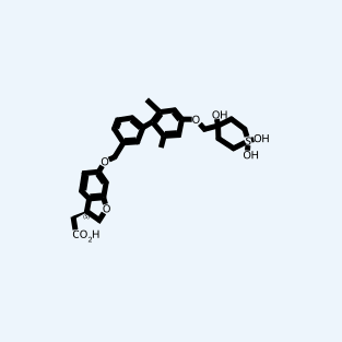 Cc1cc(OCC2(O)CCS(O)(O)CC2)cc(C)c1-c1cccc(COc2ccc3c(c2)OC[C@H]3CC(=O)O)c1